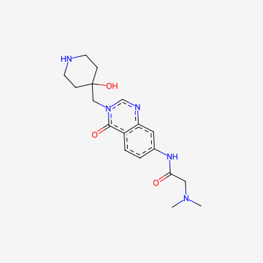 CN(C)CC(=O)Nc1ccc2c(=O)n(CC3(O)CCNCC3)cnc2c1